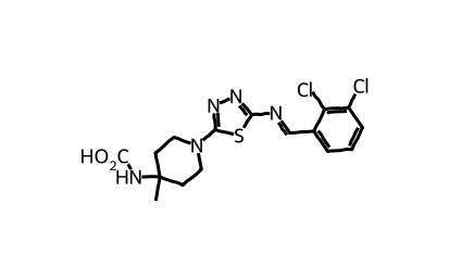 CC1(NC(=O)O)CCN(c2nnc(N=Cc3cccc(Cl)c3Cl)s2)CC1